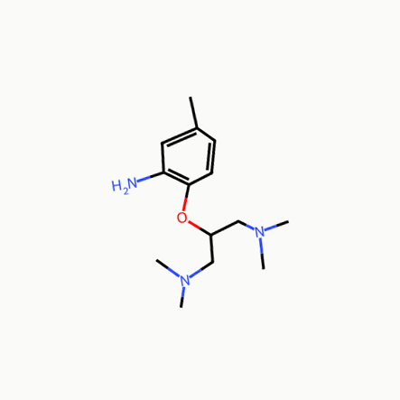 Cc1ccc(OC(CN(C)C)CN(C)C)c(N)c1